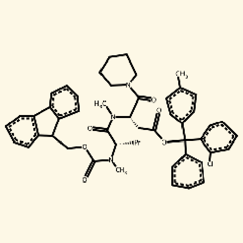 Cc1ccc(C(OC(=O)C[C@@H](C(=O)N2CCCCC2)N(C)C(=O)[C@H](C(C)C)N(C)C(=O)OCC2c3ccccc3-c3ccccc32)(c2ccccc2)c2ccccc2Cl)cc1